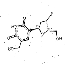 O=c1[nH]c(=O)n([C@H]2CC(F)[C@@H](CO)O2)cc1CO